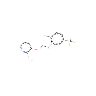 Nc1ncccc1OCCc1cc(C(F)(F)F)ccc1Cl